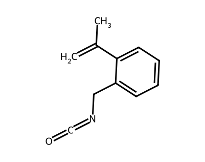 C=C(C)c1ccccc1CN=C=O